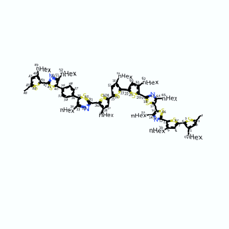 CCCCCCc1cc(C)sc1-c1cc(CCCCCC)c(-c2nc(CCCCCC)c(-c3sc(-c4sc(-c5sc(-c6cc(CCCCCC)c(-c7nc(CCCCCC)c(-c8ccc(-c9sc(-c%10sc(C)cc%10CCCCCC)nc9CCCCCC)cc8)s7)s6)cc5CCCCCC)cc4CCCCCC)nc3CCCCCC)s2)s1